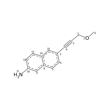 COCC#Cc1ccc2cc(N)ccc2c1